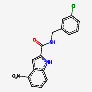 O=C(NCc1cccc(Cl)c1)c1cc2c([N+](=O)[O-])cccc2[nH]1